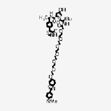 CNc1ccc(-c2nc3ccc(OCCOCCOCCOCCOCCOCCOCC(=O)NC(C(=O)N4C[C@H](O)C[C@H]4C(=O)NC(C)c4ccc(-c5scnc5C)cc4)C(C)(C)C)cc3s2)cc1